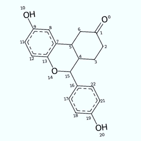 O=C1CCC2C(C1)c1cc(O)ccc1OC2c1ccc(O)cc1